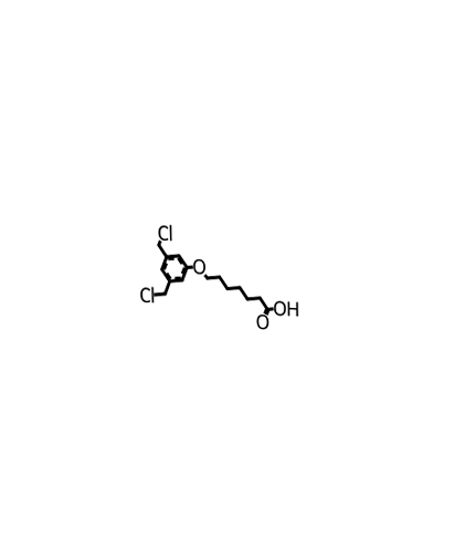 O=C(O)CCCCCCOc1cc(CCl)cc(CCl)c1